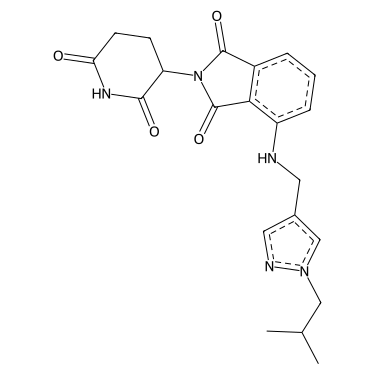 CC(C)Cn1cc(CNc2cccc3c2C(=O)N(C2CCC(=O)NC2=O)C3=O)cn1